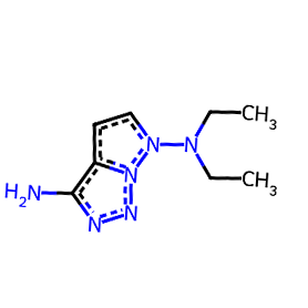 CCN(CC)n1ccc2c(N)nnn21